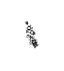 C[C@H]1CN(C(=O)c2cncc(-c3ccc(C#N)cc3F)c2)Cc2cnc([C@@](C)(O)C(F)(F)F)n21